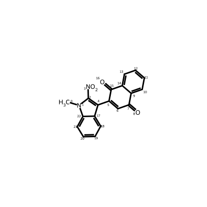 Cn1c([N+](=O)[O-])c(C2=CC(=O)c3ccccc3C2=O)c2ccccc21